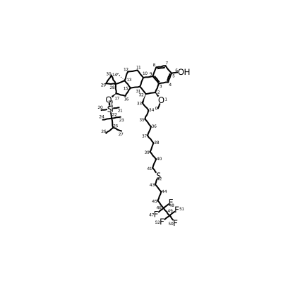 CO[C@@H]1c2cc(O)ccc2C2CC[C@@]3(C)C(C[C@@H](O[Si](C)(C)C(C)(C)C(C)C)C34CC4)C2[C@@H]1CCCCCCCCCSCCCC(F)(F)C(F)(F)F